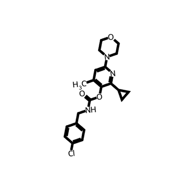 Cc1cc(N2CCOCC2)nc(C2CC2)c1OC(=O)NCc1ccc(Cl)cc1